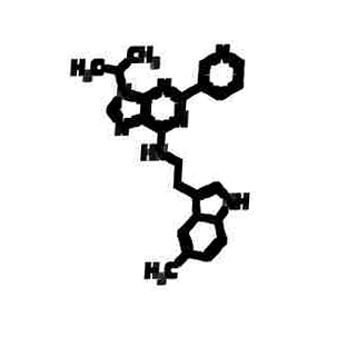 CC1=CC2C(CCNc3nc(-c4cccnc4)nc4c3ncn4C(C)C)=CNC2C=C1